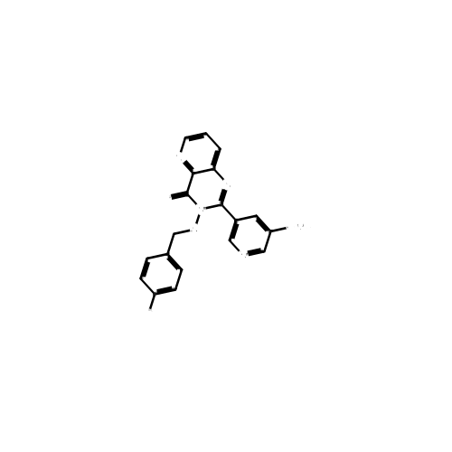 COc1cncc(-c2nc3cccnc3c(=O)n2NCc2ccc(Cl)cc2)c1